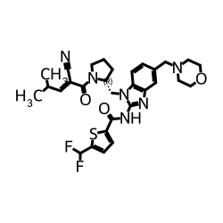 CC(C)C=C(C#N)C(=O)N1CCC[C@@H]1Cn1c(NC(=O)c2ccc(C(F)F)s2)nc2cc(CN3CCOCC3)ccc21